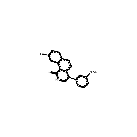 CC(=O)Nc1cccc(-c2c[nH]c(=O)c3c2ccc2ccc(Cl)cc23)c1